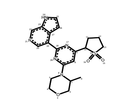 CC1COCCN1c1cc(C2CCCS2(=O)=O)nc(-c2cncc3[nH]ccc23)n1